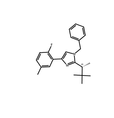 Cc1ccc(F)c(-c2cn(Cc3ccccc3)c([C@H](C)C(C)(C)C)n2)c1